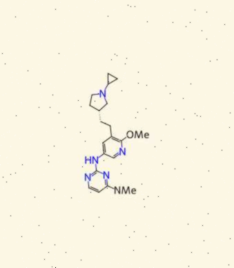 CNc1ccnc(Nc2cnc(OC)c(CC[C@@H]3CCN(C4CC4)C3)c2)n1